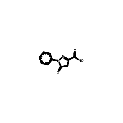 O=NC(=O)C1=NN(c2ccccc2)C(=O)C1